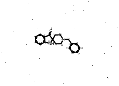 O=C1c2ccccc2NC12CCN(Cc1ccccc1)CC2